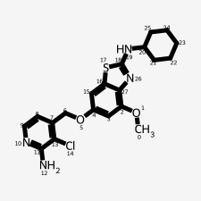 COc1cc(OCc2ccnc(N)c2Cl)cc2sc(NC3CCCCC3)nc12